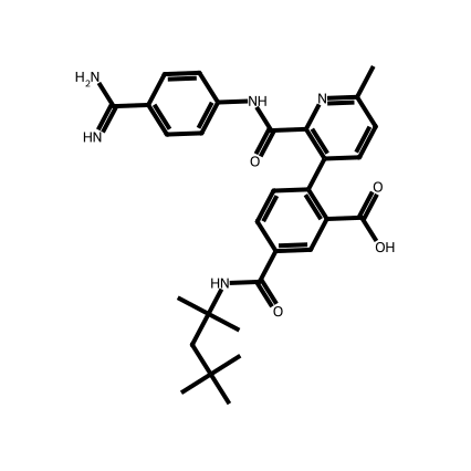 Cc1ccc(-c2ccc(C(=O)NC(C)(C)CC(C)(C)C)cc2C(=O)O)c(C(=O)Nc2ccc(C(=N)N)cc2)n1